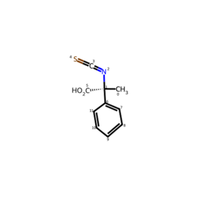 C[C@@](N=C=S)(C(=O)O)c1ccccc1